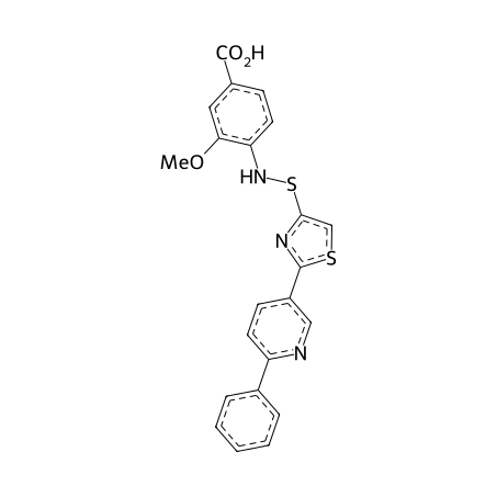 COc1cc(C(=O)O)ccc1NSc1csc(-c2ccc(-c3ccccc3)nc2)n1